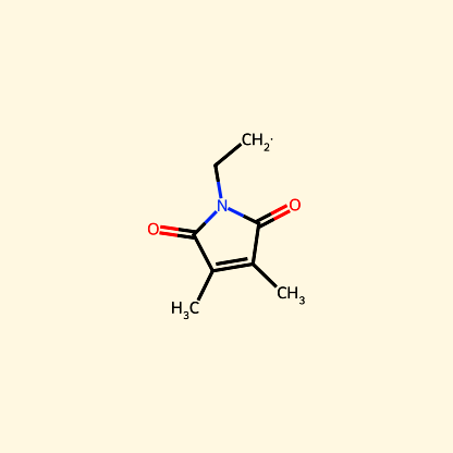 [CH2]CN1C(=O)C(C)=C(C)C1=O